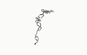 C#CCN1CCN(CCCOc2ccc3c(ccn3S(=O)(=O)c3ccc(C(=O)NNCCC)cc3)c2)CC1